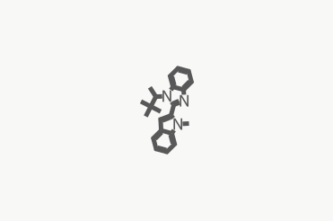 CC(n1c(-c2cc3ccccc3n2C)nc2ccccc21)C(C)(C)C